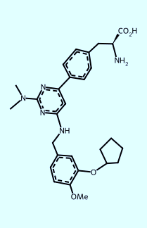 COc1ccc(CNc2cc(-c3ccc(C[C@H](N)C(=O)O)cc3)nc(N(C)C)n2)cc1OC1CCCC1